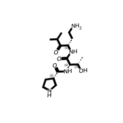 CC(C)C(=O)[C@H](CCN)NC(=O)[C@@H](NC(=O)[C@H]1CCNC1)[C@H](C)O